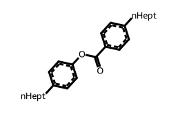 CCCCCCCc1ccc(OC(=O)c2ccc(CCCCCCC)cc2)cc1